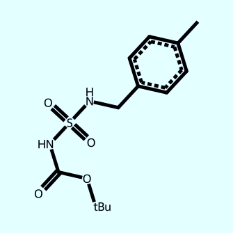 Cc1ccc(CNS(=O)(=O)NC(=O)OC(C)(C)C)cc1